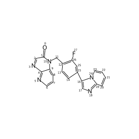 O=c1cnc2ncccc2n1Cc1ccc(-c2cnc3ccccn23)cc1F